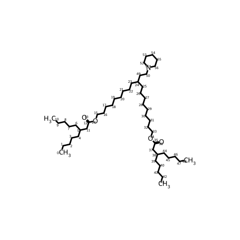 CCCCCC(CCCCC)CC(=O)OCCCCCCCCCC(CCCCCCCCCOC(=O)CC(CCCCC)CCCCC)CCN1CCCCC1